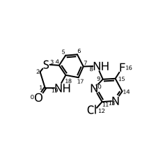 O=C1CSc2ccc(Nc3nc(Cl)ncc3F)cc2N1